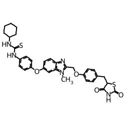 Cn1c(COc2ccc(CC3SC(=O)NC3=O)cc2)nc2ccc(Oc3ccc(NC(=S)NC4CCCCC4)cc3)cc21